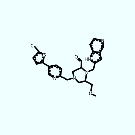 COCC1CN(Cc2ccc(-c3ccc(Cl)s3)cn2)CC(C=O)N1Cc1cc2cnccc2[nH]1